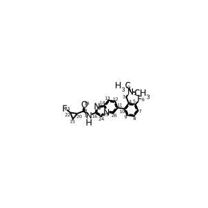 CN(C)Cc1c(F)cccc1-c1ccc2nc(NC(=O)C3CC3F)cn2c1